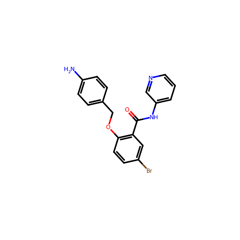 Nc1ccc(COc2ccc(Br)cc2C(=O)Nc2cccnc2)cc1